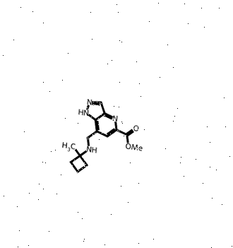 COC(=O)c1cc(CNC2(C)CCC2)c2[nH]ncc2n1